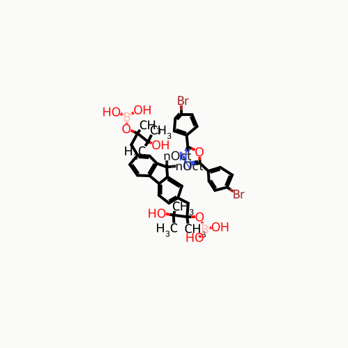 Brc1ccc(-c2nnc(-c3ccc(Br)cc3)o2)cc1.CCCCCCCCC1(CCCCCCCC)c2cc(CC(C)(OB(O)O)C(C)(C)O)ccc2-c2ccc(CC(C)(OB(O)O)C(C)(C)O)cc21